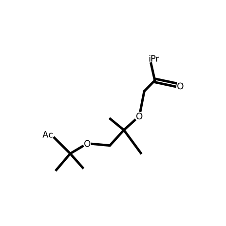 CC(=O)C(C)(C)OCC(C)(C)OCC(=O)C(C)C